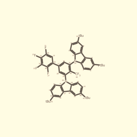 CC(C)(C)c1ccc2c(c1)c1cc(C(C)(C)C)ccc1n2-c1cc(-c2cc(F)c(F)c(F)c2F)cc(-n2c3ccc(C(C)(C)C)cc3c3cc(C(C)(C)C)ccc32)c1C(F)(F)F